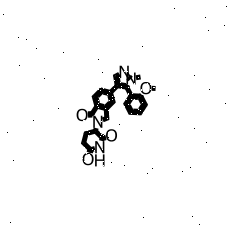 COc1ccccc1-c1c(-c2ccc3c(c2)CN(C2CCC(=O)NC2=O)C3=O)cnn1C